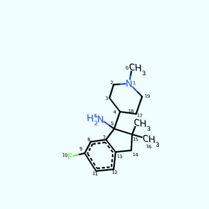 CN1CCC(C2(N)c3cc(F)ccc3CC2(C)C)CC1